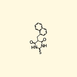 O=C1NC(=S)NC(=O)C1Cc1cccc2ccccc12